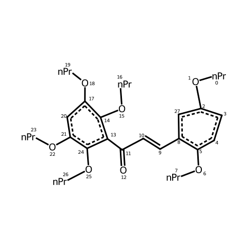 CCCOc1ccc(OCCC)c(C=CC(=O)c2c(OCCC)c(OCCC)cc(OCCC)c2OCCC)c1